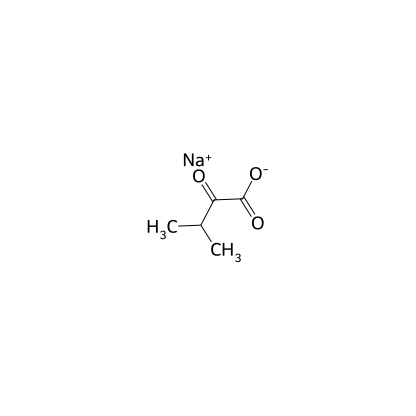 CC(C)C(=O)C(=O)[O-].[Na+]